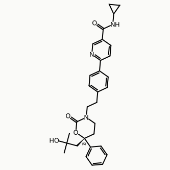 CC(C)(O)C[C@]1(c2ccccc2)CCN(CCc2ccc(-c3ccc(C(=O)NC4CC4)cn3)cc2)C(=O)O1